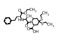 CCOC(=O)[C@H](CCc1ccccc1)NC(C)C(=O)N1CCC(SCC)(SCC)C[C@H]1C(=O)O